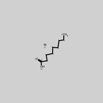 CCCCCCCCC(=O)O.[Ni]